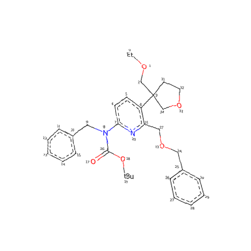 CCOCC1(c2ccc(N(Cc3ccccc3)C(=O)OC(C)(C)C)nc2COCc2ccccc2)CCOC1